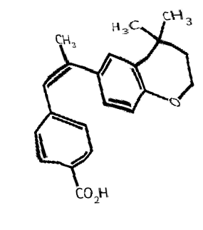 C/C(=C/c1ccc(C(=O)O)cc1)c1ccc2c(c1)C(C)(C)CCO2